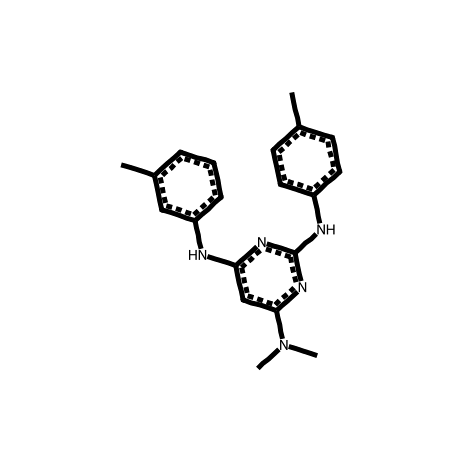 Cc1ccc(Nc2nc(Nc3cccc(C)c3)cc(N(C)C)n2)cc1